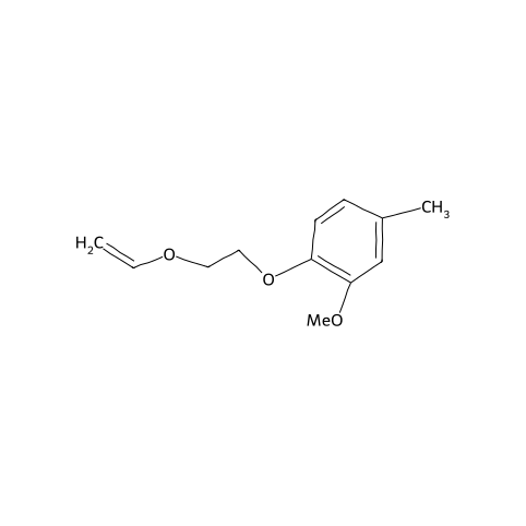 C=COCCOc1ccc(C)cc1OC